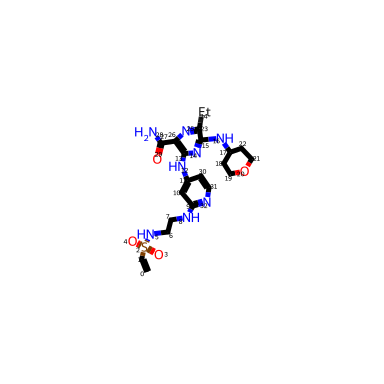 C=CS(=O)(=O)NCCNc1cc(Nc2nc(NC3CCOCC3)c(CC)nc2C(N)=O)ccn1